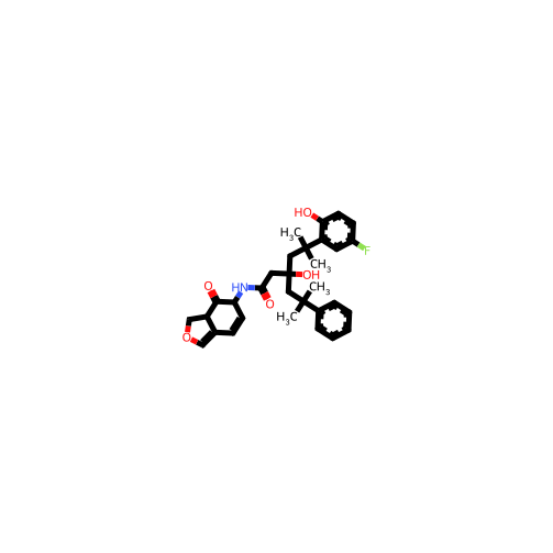 CC(C)(CC(O)(CC(=O)NC1C=CC2=COCC2C1=O)CC(C)(C)c1cc(F)ccc1O)c1ccccc1